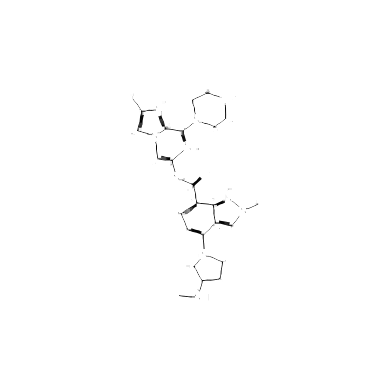 CNC1CCN(c2ccc(C(=O)Nc3cn4cc(C)nc4c(N4CCOCC4)n3)c3nn(C)cc23)C1